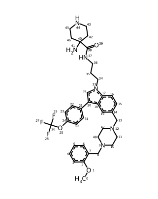 COc1ccccc1CN1CCN(Cc2ccc3c(c2)c(-c2ccc(OC(F)(F)F)cc2)cn3CCCNC(=O)C2(N)CCNCC2)CC1